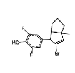 CC12C=C(Br)C(c3cc(F)c(O)c(F)c3)C1CCC2